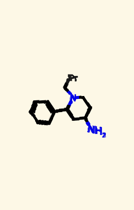 CC(C)CN1CCC(N)CC1c1ccccc1